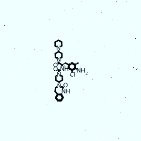 Cc1cc(C[C@@H](NC(=O)N2CCC(N3CCc4ccccc4NC3=O)CC2)C(=O)N2CCC(N3CCCCC3)CC2)cc(Cl)c1N